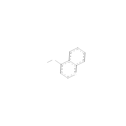 CSc1[c]cnc2ccccc12